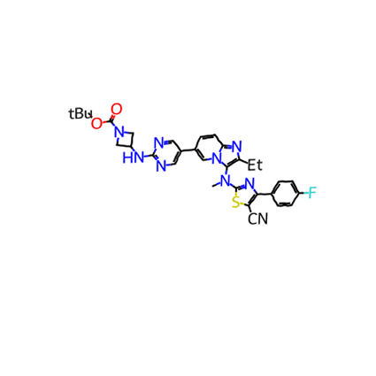 CCc1nc2ccc(-c3cnc(NC4CN(C(=O)OC(C)(C)C)C4)nc3)cn2c1N(C)c1nc(-c2ccc(F)cc2)c(C#N)s1